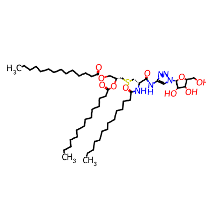 CCCCCCCCCCCCCC(=O)N[C@H](CSC[C@@H](COC(=O)CCCCCCCCCCCCC)OC(=O)CCCCCCCCCCCCC)C(=O)Nc1cn([C@H]2OC(CO)[C@@H](O)[C@H]2O)nn1